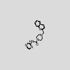 O=C(Nc1cnccn1)N1CCN(Cc2ccc3ccccc3n2)CC1